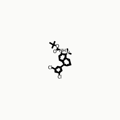 CN(C)c1c(NC(=O)OC(C)(C)C)ccc2c(-c3cc(Cl)cc(Cl)c3)cccc12